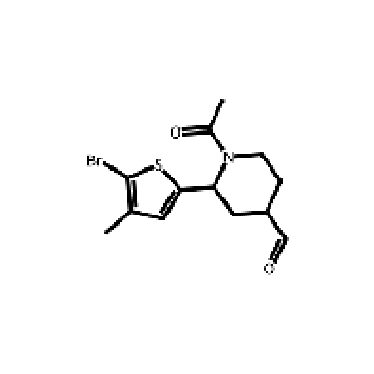 CC(=O)N1CCC(C=O)CC1c1cc(C)c(Br)s1